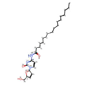 CCCCCCCCCCCCCCCCCC(=O)Nc1ccn([C@H]2C=C[C@@H](CO)O2)c(=O)n1